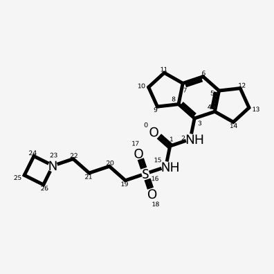 O=C(Nc1c2c(cc3c1CCC3)CCC2)NS(=O)(=O)CCCCN1CCC1